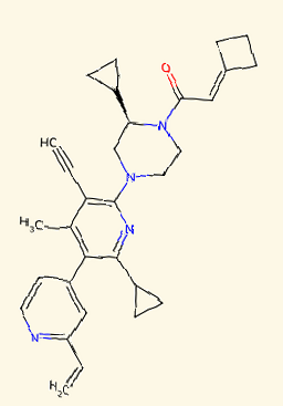 C#Cc1c(N2CCN(C(=O)C=C3CCC3)[C@H](C3CC3)C2)nc(C2CC2)c(-c2ccnc(C=C)c2)c1C